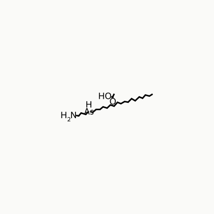 CC(=O)O.CCCCCCCCCCCCCCCCCC[AsH]CCCN